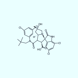 CC(C)(C)CN(C(=O)C1[C@H]2C[C@](C)(O)CN2[C@]2(C(=O)Nc3c(Cl)cc(Cl)cc32)[C@H]1C(=O)O)c1cc(Cl)cc(Cl)c1